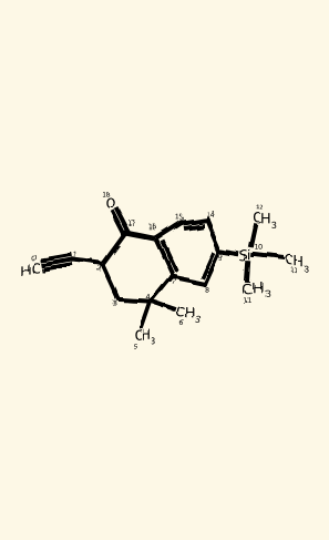 C#CC1CC(C)(C)c2cc([Si](C)(C)C)ccc2C1=O